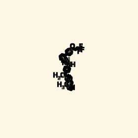 C=C(c1ccc(Nc2nc3c(C4=CCN(C(=O)CCC(F)(F)F)CC4)cccn3n2)cc1)N1CCN(Cc2nccn2C)CC1